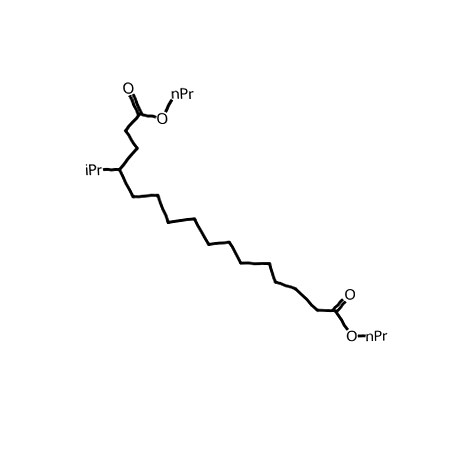 CCCOC(=O)CCCCCCCCCCCC(CCC(=O)OCCC)C(C)C